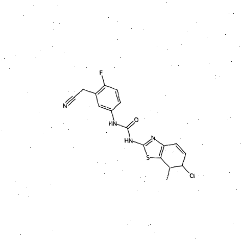 CC1c2sc(NC(=O)Nc3ccc(F)c(CC#N)c3)nc2C=CC1Cl